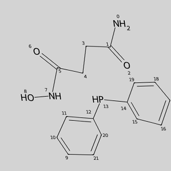 NC(=O)CCC(=O)NO.c1ccc(Pc2ccccc2)cc1